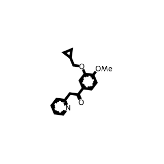 COc1ccc(C(=O)Cc2ccccn2)cc1OCC1CC1